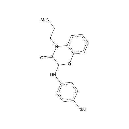 CNCCN1C(=O)C(Nc2ccc(C(C)(C)C)cc2)Oc2ccccc21